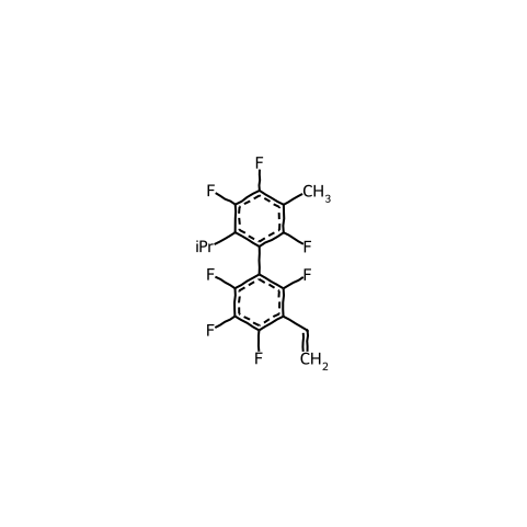 C=Cc1c(F)c(F)c(F)c(-c2c(F)c(C)c(F)c(F)c2C(C)C)c1F